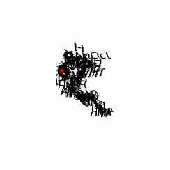 CCCCCCCC[C@H](NC(=O)[C@@H]1CCCN1C(=O)CC12CC3CC(CC(C3)C1)C2)C(=O)N[C@@H](CC(C)C)C(=O)NC(C)(C)C(=O)N[C@@H](CC(C)C)C(=O)N[C@@H](CC(C)C)C(=O)NC(C)(C)C(=O)NC(C)(C)C(=O)NCCC(=O)N[C@@H](C)CN(C)C